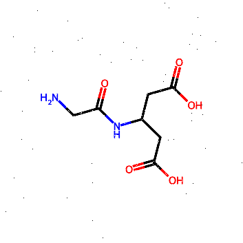 NCC(=O)NC(CC(=O)O)CC(=O)O